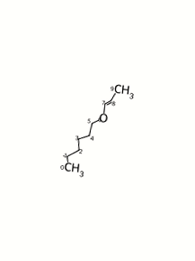 C[CH]CCCCOC=CC